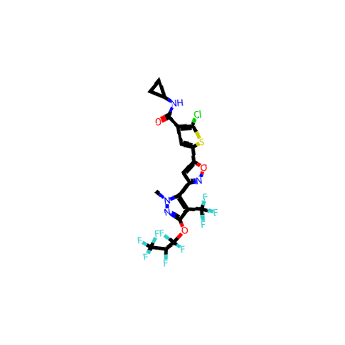 Cn1nc(OC(F)(F)C(F)C(F)(F)F)c(C(F)(F)F)c1-c1cc(-c2cc(C(=O)NC3CC3)c(Cl)s2)on1